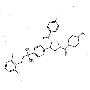 CC(=O)N1CCN(C(=O)N2CC(c3ccc(C(OCc4c(F)cccc4F)(C(F)(F)F)C(F)(F)F)cc3)[C@H]([S+]([O-])c3ccc(F)cc3)C2)CC1